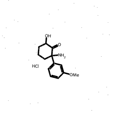 COc1cccc(C2(N)CCCC(O)C2=O)c1.Cl